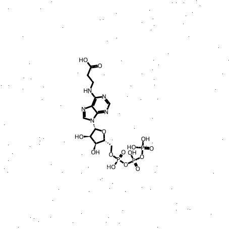 O=C(O)CCNc1ncnc2c1ncn2[C@@H]1O[C@H](COP(=O)(O)OP(=O)(O)OP(=O)(O)O)[C@@H](O)[C@H]1O